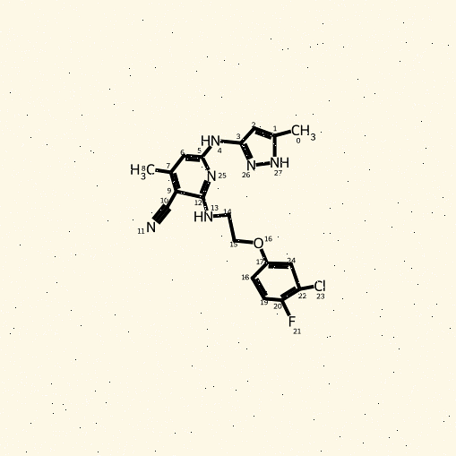 Cc1cc(Nc2cc(C)c(C#N)c(NCCOc3ccc(F)c(Cl)c3)n2)n[nH]1